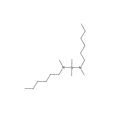 CCCCCCN(C)[Si](C)(C)N(C)CCCCCC